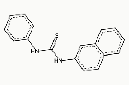 S=C(Nc1ccccc1)Nc1ccc2ccccc2c1